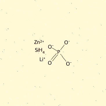 O=P([O-])([O-])[O-].[Li+].[SiH4].[Zn+2]